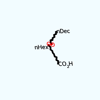 CCCCCCCCCCCCCCC/C=C/C(=O)OC(CCCCCC)CCCCCCCCCCC(=O)O